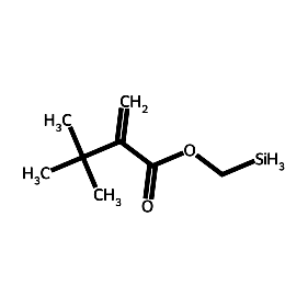 C=C(C(=O)OC[SiH3])C(C)(C)C